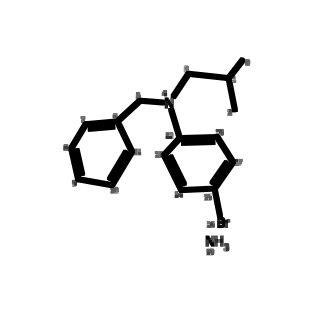 CC(C)CN(Cc1ccccc1)c1ccc(Br)cc1.N